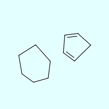 C1=CCC=C1.C1CCCCC1